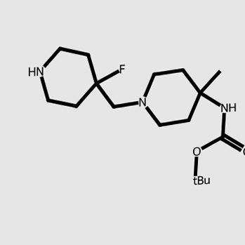 CC1(NC(=O)OC(C)(C)C)CCN(CC2(F)CCNCC2)CC1